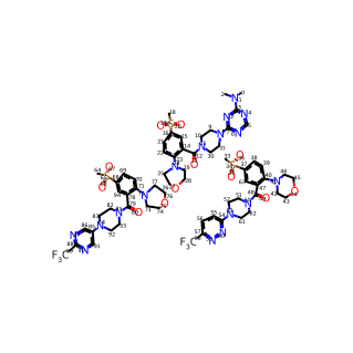 CN(C)c1ncnc(N2CCN(C(=O)c3cc(S(C)(=O)=O)ccc3N3CCOCC3)CC2)n1.CS(=O)(=O)c1ccc(N2CCOCC2)c(C(=O)N2CCN(c3ccc(C(F)(F)F)nn3)CC2)c1.CS(=O)(=O)c1ccc(N2CCOCC2)c(C(=O)N2CCN(c3cnc(C(F)(F)F)nc3)CC2)c1